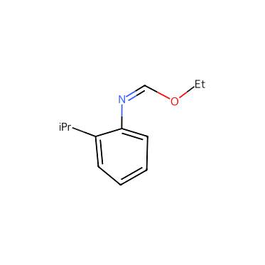 CCO/C=N\c1ccccc1C(C)C